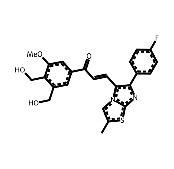 COc1cc(C(=O)/C=C/c2c(-c3ccc(F)cc3)nc3sc(C)cn23)cc(CO)c1CO